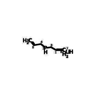 C=CCPCC=C.[LiH]